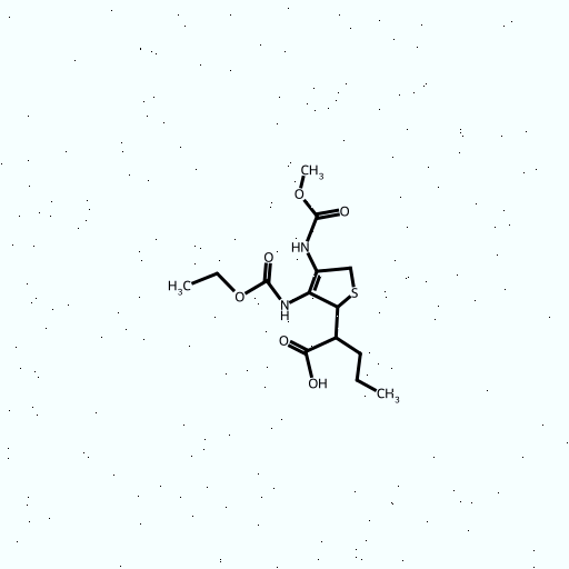 CCCC(C(=O)O)C1SCC(NC(=O)OC)=C1NC(=O)OCC